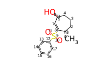 C[C@H]1CCC[C@H](O)C=C1S(=O)(=O)c1ccccc1